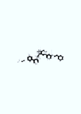 CN(C)CCOc1cc(F)cc(-c2cncc3[nH]c(-c4n[nH]c5cnc(-c6cncc(NC(=O)CC7CCCCC7)c6)cc45)nc23)c1